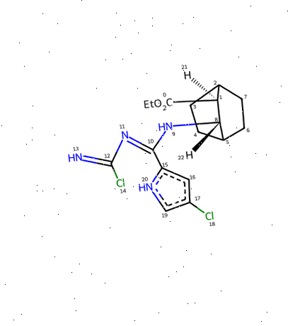 CCOC(=O)[C@H]1C2CCC(CC2)[C@@H]1N/C(=N/C(=N)Cl)c1cc(Cl)c[nH]1